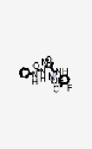 O=C(Nc1ccccc1)Nc1nocc1/C(=N/O)Nc1ccc(F)c(Cl)c1